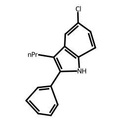 CCCc1c(-c2ccccc2)[nH]c2ccc(Cl)cc12